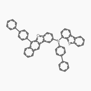 c1ccc(-c2ccc(-c3c4ccccc4cc4c3oc3ccc(N(c5ccc(-c6ccccc6)cc5)c5cccc6c5sc5ccccc56)cc34)cc2)cc1